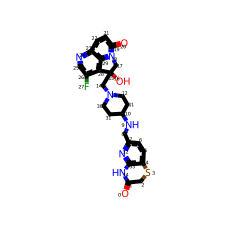 O=C1CSc2ccc(CNC3CCN(CC4(O)Cn5c(=O)ccc6ncc(F)c4c65)CC3)nc2N1